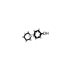 Oc1ccc([S+]2CCCCC2)cc1